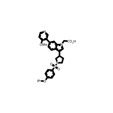 COc1ccncc1-c1ccc2c(C3CCN(S(=O)(=O)c4ccc(OC(C)C)cc4)C3)cn(CC(=O)O)c2c1